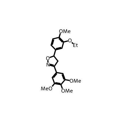 CCOc1cc(C2CC(c3cc(OC)c(OC)c(OC)c3)=NO2)ccc1OC